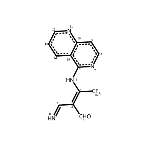 N=C/C(C=O)=C(\Nc1nccc2ncccc12)C(F)(F)F